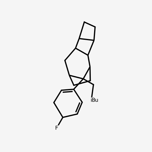 CCC(C)CC1(C2=CCC(F)C=C2)C2CCC1C1C3CCC3C1C2